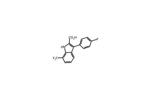 O=C(O)c1[nH]c2c(C(F)(F)F)cccc2c1-c1ccc(F)cc1